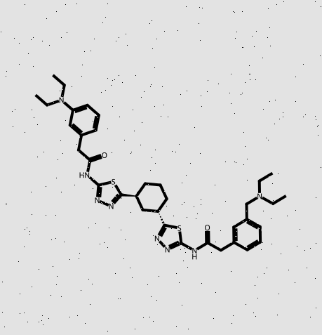 CCN(CC)Cc1cccc(CC(=O)Nc2nnc([C@H]3CCC[C@H](c4nnc(NC(=O)Cc5cccc(N(CC)CC)c5)s4)C3)s2)c1